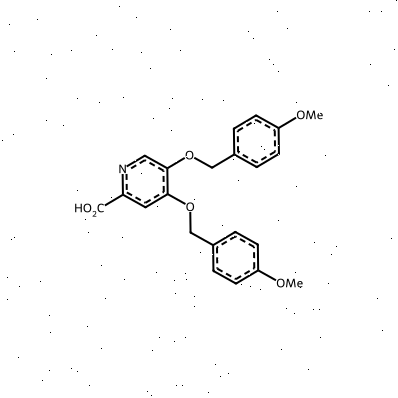 COc1ccc(COc2cnc(C(=O)O)cc2OCc2ccc(OC)cc2)cc1